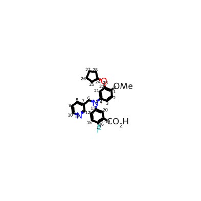 COc1ccc(N(Cc2cccnc2)c2ccc(F)c(C(=O)O)c2)cc1OC1CCCC1